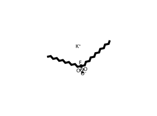 CCCCCCCCCCCCC(F)(CCCCCCCCCCC)S(=O)(=O)[O-].[K+]